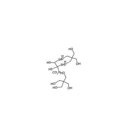 O=C(O)C(S)(S)C(S)S.OCC(CO)(CO)CO.OCC(CO)(CO)CO